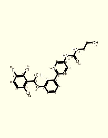 CC(Oc1cccc(-c2ncc(NC(=O)NCCO)cn2)c1)c1c(Cl)ccc(F)c1Cl